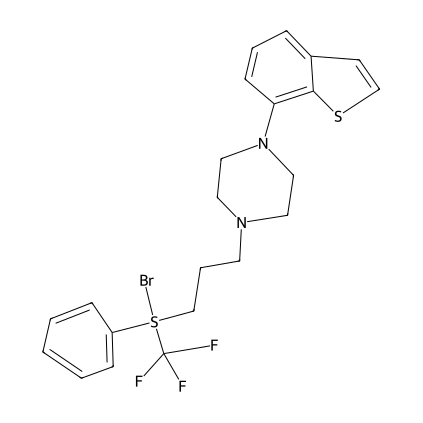 FC(F)(F)S(Br)(CCCN1CCN(c2cccc3ccsc23)CC1)c1ccccc1